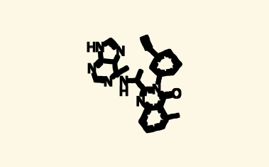 C#Cc1cccc(-n2c(C(C)NC3(C)N=CN=C4NC=NC43)nc3cccc(C)c3c2=O)c1